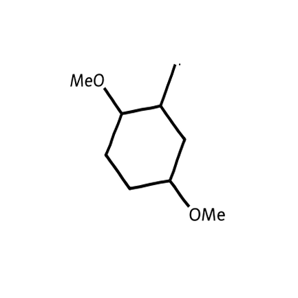 [CH2]C1CC(OC)CCC1OC